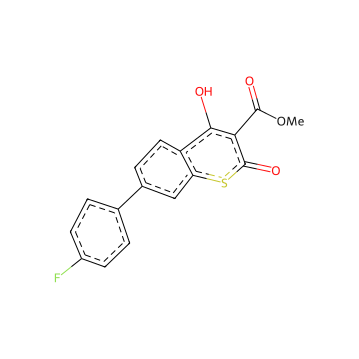 COC(=O)c1c(O)c2ccc(-c3ccc(F)cc3)cc2sc1=O